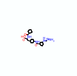 NN=CNc1cccc(C(=O)Nc2ccc(C=C(NC(=O)c3ccccc3)C(=O)O)cc2)c1